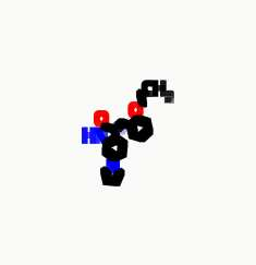 C=CCOc1ccccc1/C=C1/C(=O)Nc2cc(-n3cccc3)ccc21